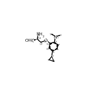 CN(C)c1ccc(C2CC2)cc1OC[C@H](N)C=O